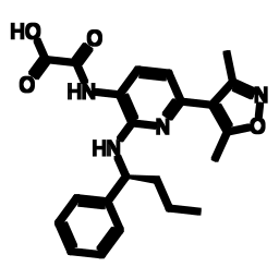 CCC[C@H](Nc1nc(-c2c(C)noc2C)ccc1NC(=O)C(=O)O)c1ccccc1